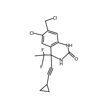 CC(F)(F)C1(C#CC2CC2)NC(=O)Nc2cc(CCl)c(Cl)cc21